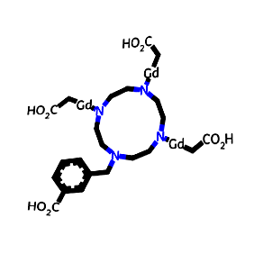 O=C(O)[CH2][Gd][N]1CCN(Cc2cccc(C(=O)O)c2)CC[N]([Gd][CH2]C(=O)O)CC[N]([Gd][CH2]C(=O)O)CC1